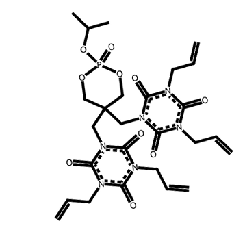 C=CCn1c(=O)n(CC=C)c(=O)n(CC2(Cn3c(=O)n(CC=C)c(=O)n(CC=C)c3=O)COP(=O)(OC(C)C)OC2)c1=O